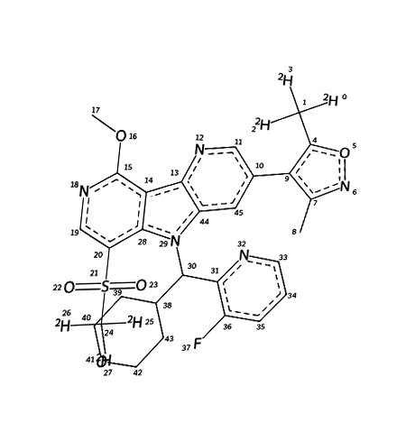 [2H]C([2H])([2H])c1onc(C)c1-c1cnc2c3c(OC)ncc(S(=O)(=O)C([2H])([2H])[2H])c3n(C(c3ncccc3F)C3CCOCC3)c2c1